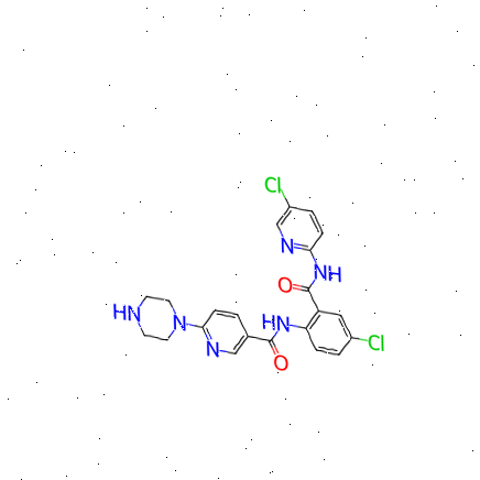 O=C(Nc1ccc(Cl)cc1C(=O)Nc1ccc(Cl)cn1)c1ccc(N2CCNCC2)nc1